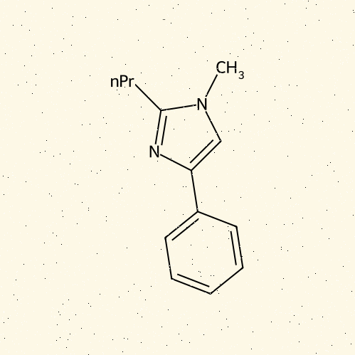 CCCc1nc(-c2ccccc2)cn1C